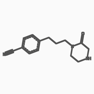 N#Cc1ccc(CCCN2CCNCC2=O)cc1